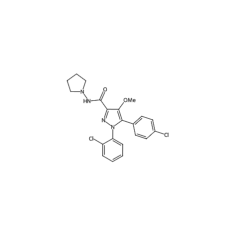 COc1c(C(=O)NN2CCCC2)nn(-c2ccccc2Cl)c1-c1ccc(Cl)cc1